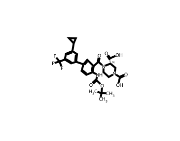 CC(C)(C)OC(=O)Nc1ccc(-c2cc(C3CC3)cc(C(F)(F)F)c2)cc1C(=O)N1CCN(C(=O)O)C[C@H]1C(=O)O